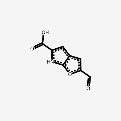 O=Cc1cc2cc(C(=O)O)[nH]c2o1